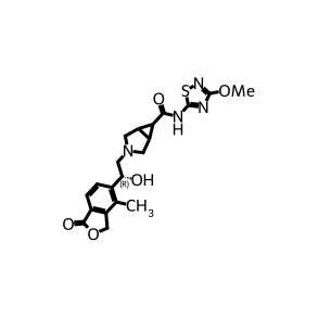 COc1nsc(NC(=O)C2C3CN(C[C@H](O)c4ccc5c(c4C)COC5=O)CC32)n1